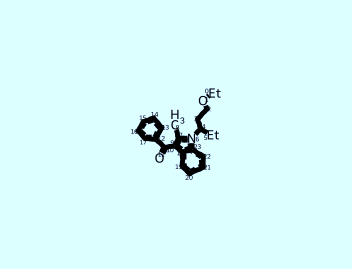 CCOCCC(CC)n1c(C)c(C(=O)c2ccccc2)c2ccccc21